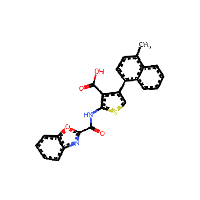 Cc1ccc(-c2csc(NC(=O)c3nc4ccccc4o3)c2C(=O)O)c2ccccc12